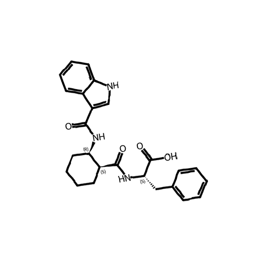 O=C(N[C@@H]1CCCC[C@@H]1C(=O)N[C@@H](Cc1ccccc1)C(=O)O)c1c[nH]c2ccccc12